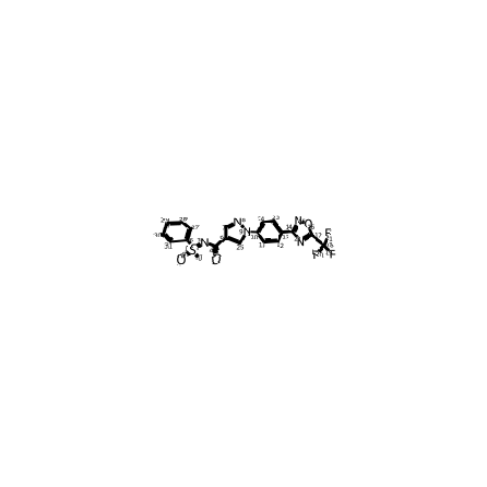 CS(=O)(=NC(=O)c1cnn(-c2ccc(-c3noc(C(F)(F)F)n3)cc2)c1)c1ccccc1